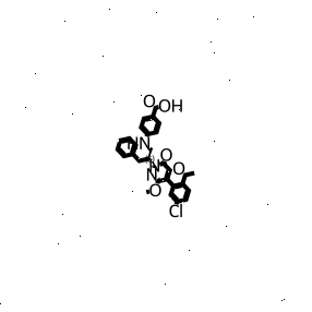 COc1nn([C@H](CNc2ccc(C(=O)O)cc2)Cc2ccccc2)c(=O)cc1-c1cc(Cl)ccc1C(C)=O